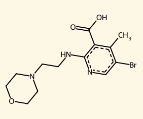 Cc1c(Br)cnc(NCCN2CCOCC2)c1C(=O)O